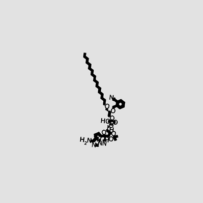 CCCCCCCCCCCCCCCCCCOC[C@H](COP(=O)(O)OC[C@H]1O[C@@](C#N)(c2ccc3c(N)ncnn23)[C@@H]2OC(C)(C)O[C@@H]21)OCc1ccccc1C#N